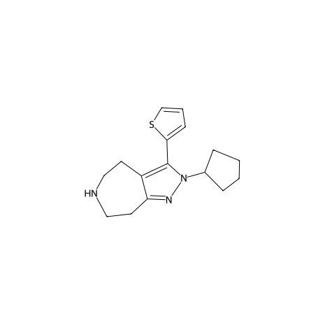 c1csc(-c2c3c(nn2C2CCCC2)CCNCC3)c1